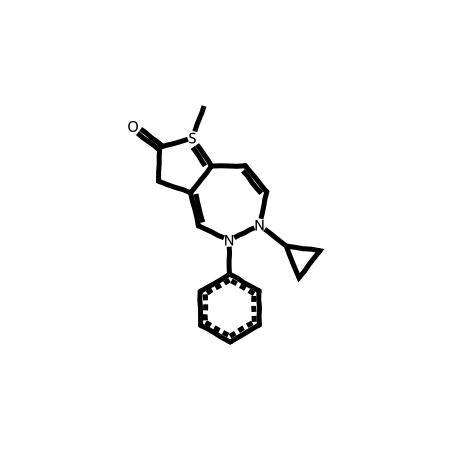 CS1=C2C=CN(C3CC3)N(c3ccccc3)C=C2CC1=O